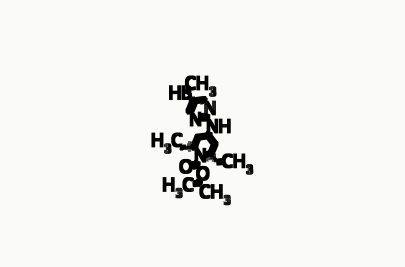 CBc1cnc(NC2C[C@@H](CC)N(C(=O)OC(C)C)[C@@H](CC)C2)nc1